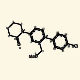 COCc1cc(N2CCCCC2=O)ccc1-c1ccc(Cl)cc1